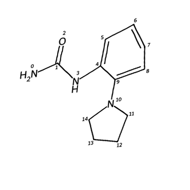 NC(=O)Nc1ccccc1N1CCCC1